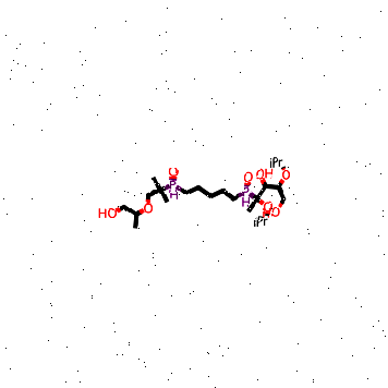 CC(C)OC(CO)C(O)C(C)(OC(C)C)[PH](=O)CCCCC[PH](=O)C(C)(C)COC(C)CO